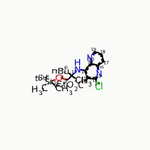 CCCCC(C)(CO[Si](C)(C)C(C)(C)C)Nc1c(C(=O)OCC)c(Cl)nc2cccnc12